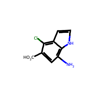 Nc1cc(C(=O)O)c(Cl)c2cc[nH]c12